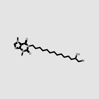 Cn1cnc2c1c(=O)n(CCCCCCCCCCCCC(O)CBr)c(=O)n2C